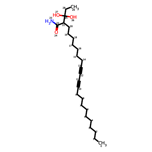 CCCCCCCCCCC#CC#CCCCCCCCC(C(N)=O)C(O)(O)CC